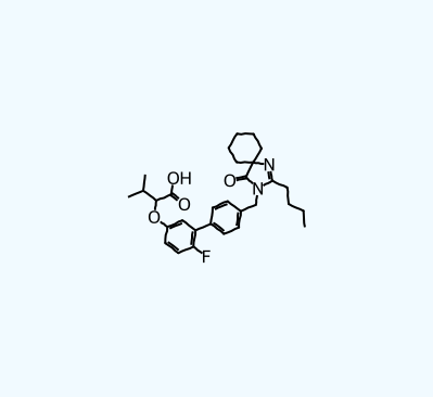 CCCCC1=NC2(CCCCC2)C(=O)N1Cc1ccc(-c2cc(OC(C(=O)O)C(C)C)ccc2F)cc1